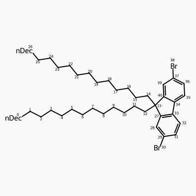 CCCCCCCCCCCCCCCCCCCCCCC1(CCCCCCCCCCCCCCCCCCCCCC)c2cc(Br)ccc2-c2ccc(Br)cc21